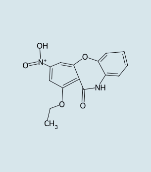 CCOc1cc([N+](=O)O)cc2c1C(=O)Nc1ccccc1O2